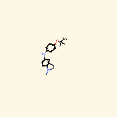 CN1CCc2cc(Nc3ccc(O[Si](C)(C)C(C)(C)C)cc3)ccc21